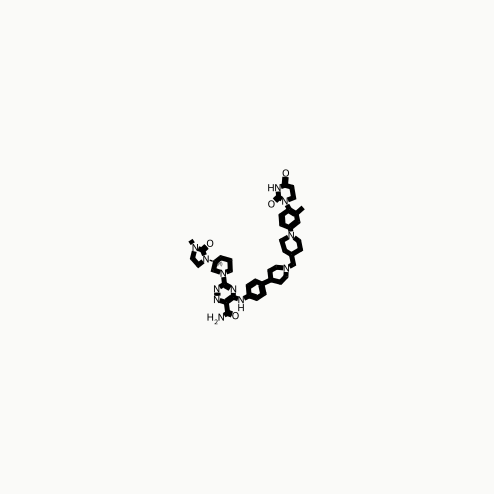 Cc1cc(N2CCC(CN3CCC(c4ccc(Nc5nc(N6CCC[C@@H](N7CCN(C)C7=O)C6)nnc5C(N)=O)cc4)CC3)CC2)ccc1N1CCC(=O)NC1=O